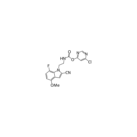 COc1ccc(F)c2c1cc(C#N)n2CCNC(=O)Oc1cc(Cl)ncn1